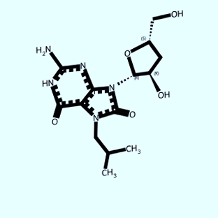 CC(C)Cn1c(=O)n([C@@H]2O[C@H](CO)C[C@H]2O)c2nc(N)[nH]c(=O)c21